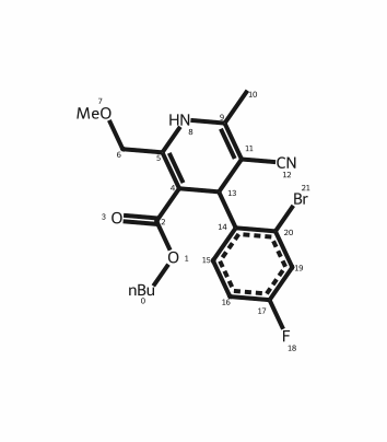 CCCCOC(=O)C1=C(COC)NC(C)=C(C#N)C1c1ccc(F)cc1Br